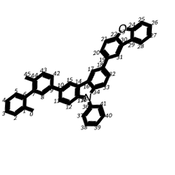 Cc1ccccc1-c1cc(-c2ccc3c(c2)c2cc(-c4ccc5oc6ccccc6c5c4)ccc2n3-c2ccccc2)ccc1C